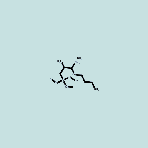 CCO[Si](CC(C)C(C)NCCCN)(OCC)OCC.N